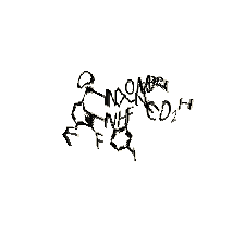 COC1(CN(C(=O)O)C(C)(C)C)CN(C(=O)c2ccc(F)c(F)c2Nc2ccc(I)cc2F)C1